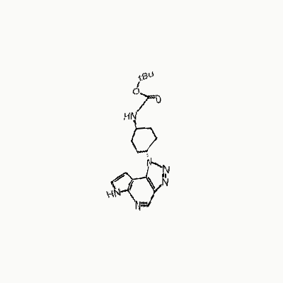 CC(C)(C)OC(=O)N[C@H]1CC[C@H](n2nnc3cnc4[nH]ccc4c32)CC1